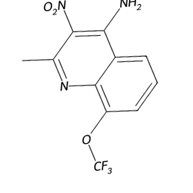 Cc1nc2c(OC(F)(F)F)cccc2c(N)c1[N+](=O)[O-]